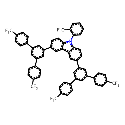 FC(F)(F)c1ccc(-c2cc(-c3ccc(C(F)(F)F)cc3)cc(-c3ccc4c(c3)c3cc(-c5cc(-c6ccc(C(F)(F)F)cc6)cc(-c6ccc(C(F)(F)F)cc6)c5)ccc3n4-c3ccccc3C(F)(F)F)c2)cc1